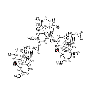 Cl.O=C1CC[C@@]2(O)[C@H]3Cc4ccc(O)c5c4[C@@]2(CCN3)[C@H]1O5.O=C1CC[C@@]2(O)[C@H]3Cc4ccc(O)c5c4[C@@]2(CCN3CC2CC2)[C@H]1O5.O=C1CC[C@@]2(O)[C@H]3Cc4ccc(O)c5c4[C@@]2(CCN3CC2CC2)[C@H]1O5